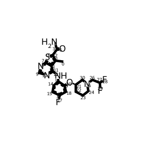 Cc1c(C(N)=O)sc2ncnc(Nc3ccc(F)cc3O[C@@H]3CCCN(CC(F)F)C3)c12